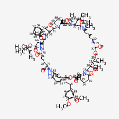 COc1ccc(CC[C@H]2OC(=O)[C@@H]3CCCCN3C(=O)C(=O)C(C)(C)COC(=O)/C=C/CCN(C)C(=O)[C@H](CC(C)C)N(C)C(=O)[C@H]3CCCN3C(=O)[C@H](Cc3ccccc3)N(C)C(=O)[C@H](CC(=O)OC(C)(C)C)NC(=O)CCC(=O)Nc3cccc2c3)cc1OC